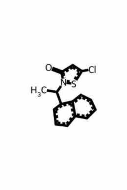 CC(c1cccc2ccccc12)n1sc(Cl)cc1=O